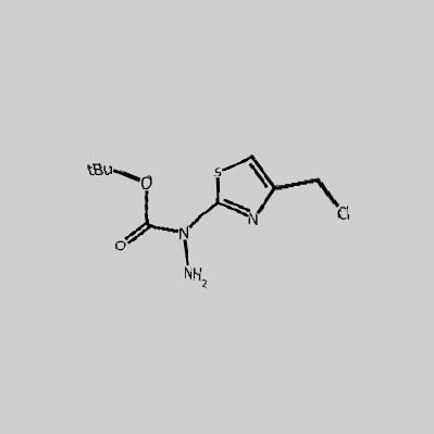 CC(C)(C)OC(=O)N(N)c1nc(CCl)cs1